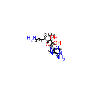 COC(CCCN)[C@H]1O[C@@H](n2cnc3c(N)ncnc32)[C@H](O)[C@@H]1O